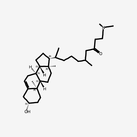 CC(CCCC(C)[C@H]1CC[C@H]2[C@@H]3CC=C4C[C@@H](O)CC[C@]4(C)[C@H]3CC[C@]12C)CC(=O)CCN(C)C